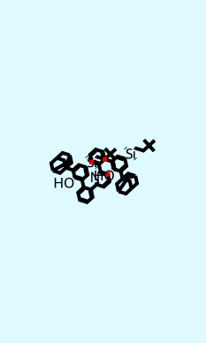 CC(C)(C)CC[Si](C)(C)c1cc(-c2ccccc2-c2cccc(-c3ccccc3-c3cc([Si](C)(C)CCC(C)(C)C)cc(C45CC6CC(CC(C6)C4)C5)c3O)n2)c(O)c(C23CC4CC(CC(C4)C2)C3)c1